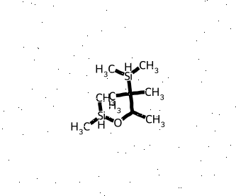 CC(O[SiH](C)C)C(C)(C)[SiH](C)C